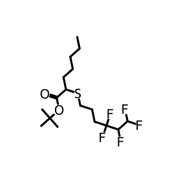 CCCCCC(SCCCC(F)(F)C(F)C(F)F)C(=O)OC(C)(C)C